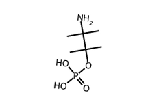 CC(C)(N)C(C)(C)OP(=O)(O)O